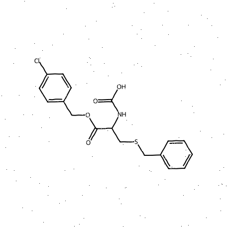 O=C(O)NC(CSCc1ccccc1)C(=O)OCc1ccc(Cl)cc1